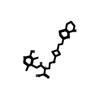 Cc1cnc(O)c(C)c1CN[C@@H](CCOC1CC(CCc2ccc3c(n2)NCCC3)C1)C(=O)O